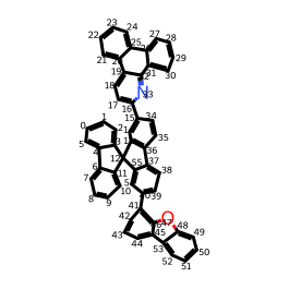 c1ccc2c(c1)-c1ccccc1C21c2cc(-c3ccc4c5ccccc5c5ccccc5c4n3)ccc2-c2ccc(-c3cccc4c3oc3ccccc34)cc21